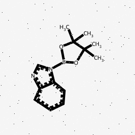 CC1(C)OB(n2cnc3ccccc32)OC1(C)C